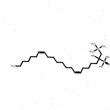 CCCCCC/C=C\CCCCCC/C=C\CCCCC(O)(C[N+](C)(C)C)P(=O)(O)O